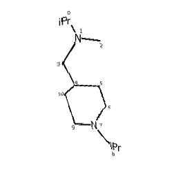 CC(C)N(C)CC1CCN(C(C)C)CC1